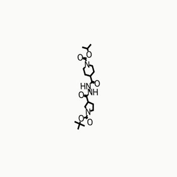 CC(C)OC(=O)N1CCC(C(=O)NNC(=O)C2CCN(C(=O)OC(C)(C)C)C2)CC1